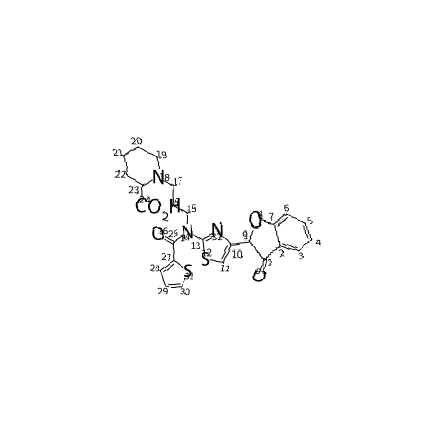 O=C1c2ccccc2OC1c1csc(N(CCCN2CCCCC2C(=O)O)C(=O)c2cccs2)n1